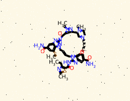 CCc1nc(C)sc1C(=O)Nc1nc2cc(C(N)=O)cc3c2n1C/C=C/Cn1c(nc2cc(C(N)=O)cc(SC)c21)NC(=O)c1cc(nn1CC)C1CN(CCCO3)CCN1C